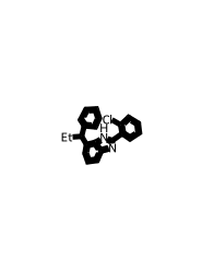 CCC(c1ccccc1)c1cccc2nc(-c3ccccc3Cl)[nH]c12